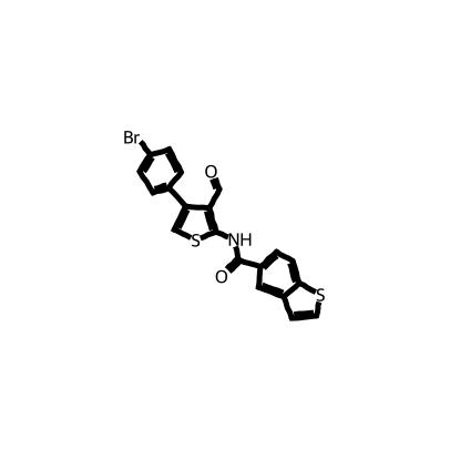 O=Cc1c(-c2ccc(Br)cc2)csc1NC(=O)c1ccc2sccc2c1